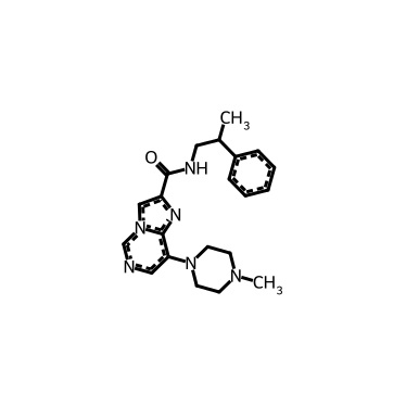 CC(CNC(=O)c1cn2cncc(N3CCN(C)CC3)c2n1)c1ccccc1